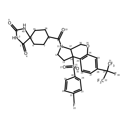 O=C1NC(=O)C2(CCC(C(=O)N3CCC4(S(=O)(=O)c5ccc(F)cc5)c5ccc(C(F)(C(F)(F)F)C(F)(F)F)cc5OCC34)CC2)N1